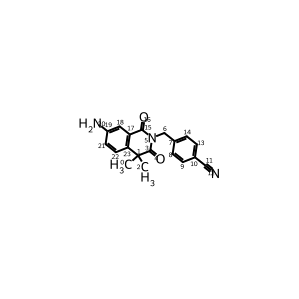 CC1(C)C(=O)N(Cc2ccc(C#N)cc2)C(=O)c2cc(N)ccc21